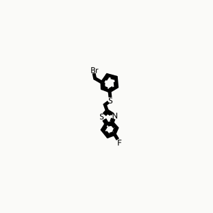 Fc1ccc2sc(CSc3cccc(CBr)c3)nc2c1